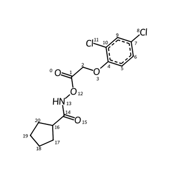 O=C(COc1ccc(Cl)cc1Cl)ONC(=O)C1CCCC1